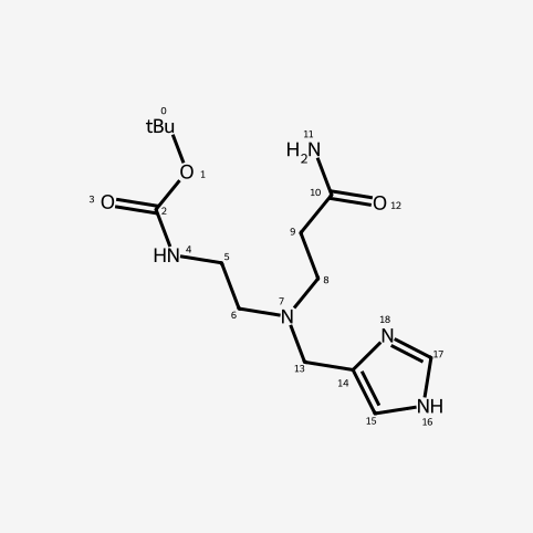 CC(C)(C)OC(=O)NCCN(CCC(N)=O)Cc1c[nH]cn1